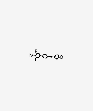 COc1ccc(C#Cc2ccc(-c3cc(F)c(C#N)c(I)c3)cc2)cc1